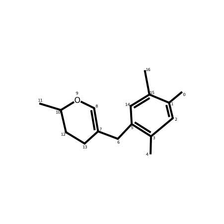 Cc1cc(C)c(CC2=COC(C)CC2)cc1C